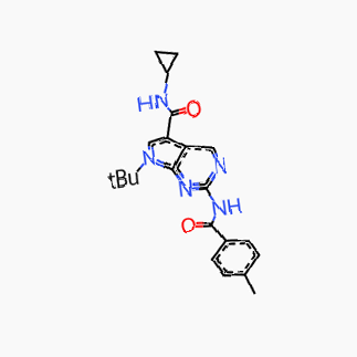 Cc1ccc(C(=O)Nc2ncc3c(C(=O)NC4CC4)cn(C(C)(C)C)c3n2)cc1